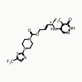 C[C@H](/C=C/COC(=O)N1CCN(c2ncc(C(F)(F)F)s2)CC1)Nc1cn[nH]c(=O)c1C(F)(F)F